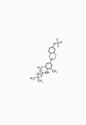 Cc1cc(N2CCc3cc(OC(F)(F)F)ccc3C2)cc(C)c1NC(=O)CC(C)(C)C